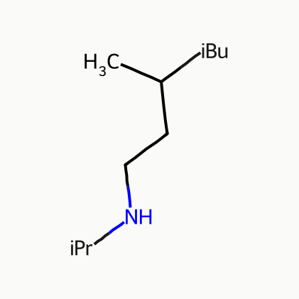 CCC(C)C(C)CCNC(C)C